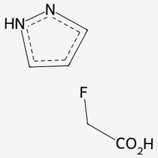 O=C(O)CF.c1cn[nH]c1